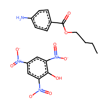 CCCCOC(=O)c1ccc(N)cc1.O=[N+]([O-])c1cc([N+](=O)[O-])c(O)c([N+](=O)[O-])c1